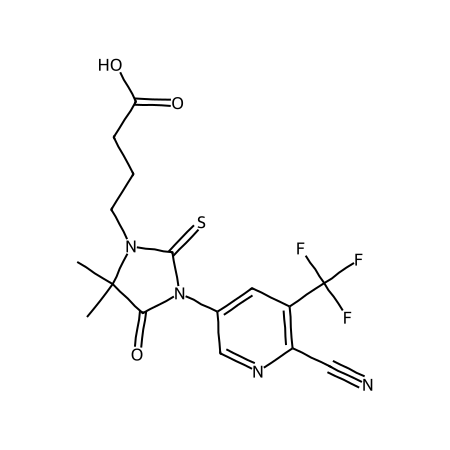 CC1(C)C(=O)N(c2cnc(C#N)c(C(F)(F)F)c2)C(=S)N1CCCC(=O)O